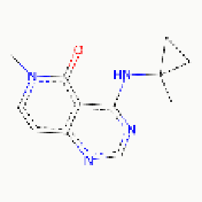 Cn1ccc2ncnc(NC3(C)CC3)c2c1=O